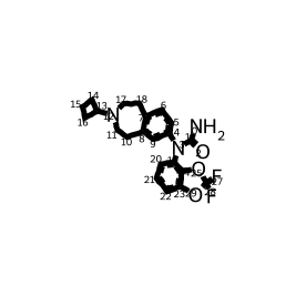 NC(=O)N(c1ccc2c(c1)CCN(C1CCC1)CC2)c1cccc2c1OC(F)(F)O2